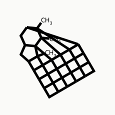 CC12C3CC4CC5C6C7C8CC9C%10C%11C%12CC%13C%14C3C13C%141C%13%12C%11%12C%10%11C89C78C67C5(C)C45C2(C)C32C57C8%11C1%122